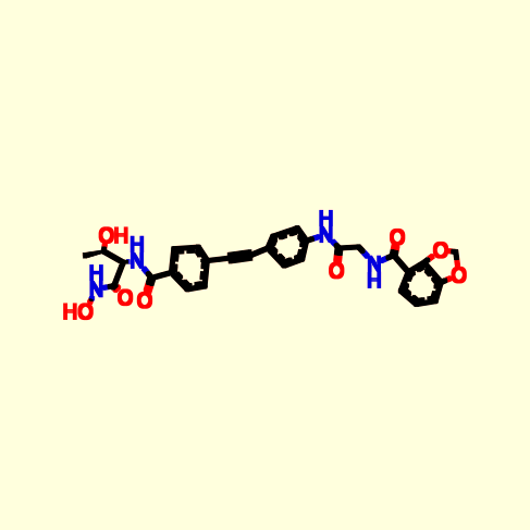 C[C@@H](O)[C@H](NC(=O)c1ccc(C#Cc2ccc(NC(=O)CNC(=O)c3cccc4c3OCO4)cc2)cc1)C(=O)NO